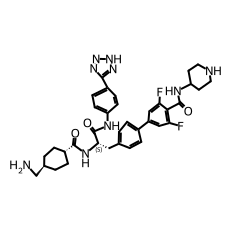 NC[C@H]1CC[C@H](C(=O)N[C@@H](Cc2ccc(-c3cc(F)c(C(=O)NC4CCNCC4)c(F)c3)cc2)C(=O)Nc2ccc(-c3nn[nH]n3)cc2)CC1